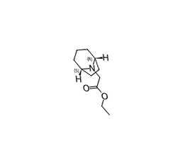 CCOC(=O)CN1[C@@H]2CCC[C@H]1CC2